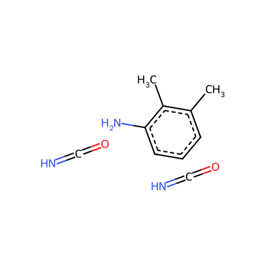 Cc1cccc(N)c1C.N=C=O.N=C=O